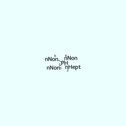 CCCCCCCCC[PH](CCCCCCC)(CCCCCCCCC)CCCCCCCCC